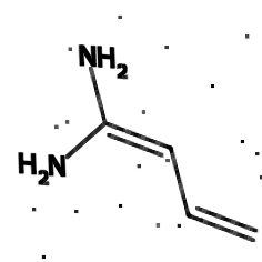 C=CC=C(N)N